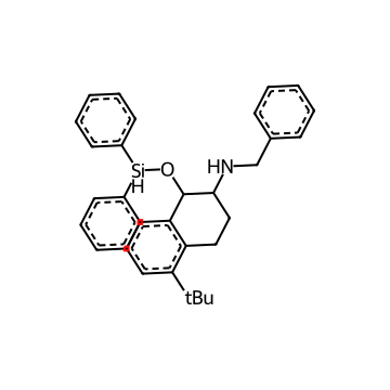 CC(C)(C)c1cccc2c1CCC(NCc1ccccc1)C2O[SiH](c1ccccc1)c1ccccc1